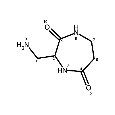 NCC1NC(=O)CCNC1=O